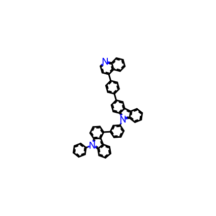 c1ccc(-n2c3ccccc3c3c(-c4cccc(-n5c6ccccc6c6cc(-c7ccc(-c8ccnc9ccccc89)cc7)ccc65)c4)cccc32)cc1